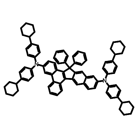 c1ccc(C2(c3ccccc3)c3cc4cc(N(c5ccc(C6CCCCC6)cc5)c5ccc(C6CCCCC6)cc5)ccc4cc3-c3c2c2ccc(N(c4ccc(C5CCCCC5)cc4)c4ccc(C5CCCCC5)cc4)cc2c2ccccc32)cc1